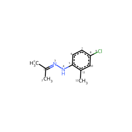 CC(C)=NNc1ccc(Cl)cc1C